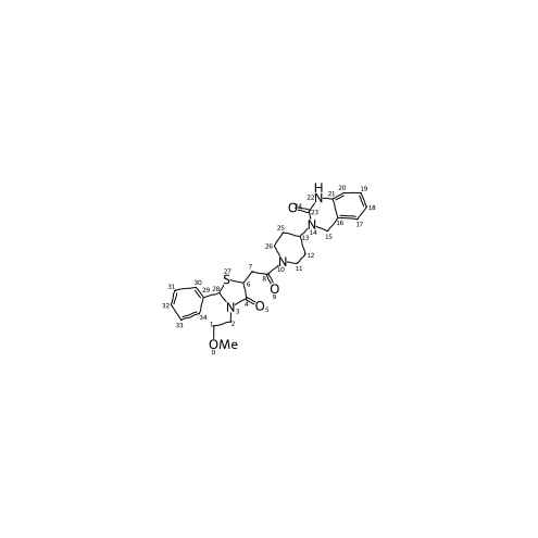 COCCN1C(=O)C(CC(=O)N2CCC(N3Cc4ccccc4NC3=O)CC2)SC1c1ccccc1